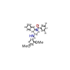 COc1ccc(CN[C@H]2CCN(C(=O)c3cc(C)cc(C)c3)[C@H](Cc3ccccc3)C2)c(OC)c1